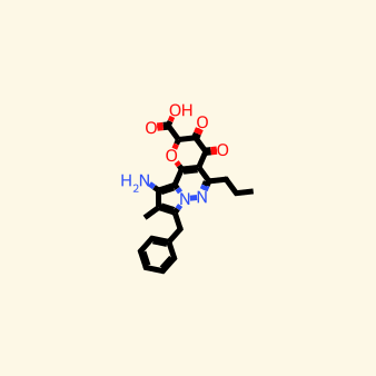 CCCc1nn2c(Cc3ccccc3)c(C)c(N)c2c2c1C(=O)C(=O)C(C(=O)O)O2